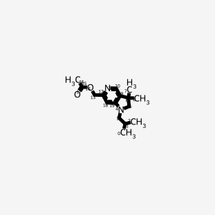 C[C](C)CN1CC(C)(C)c2cnc(COC(C)=O)cc21